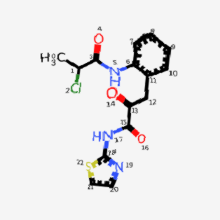 CC(Cl)C(=O)Nc1ccccc1CC(=O)C(=O)Nc1nccs1